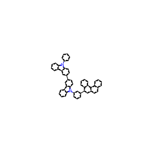 c1ccc(-n2c3ccccc3c3cc(-c4ccc5c(c4)c4ccccc4n5-c4cccc(-c5cc6ccc7ccccc7c6c6ccccc56)c4)ccc32)cc1